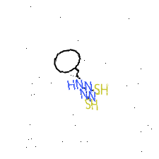 Sc1nc(S)nc(NCCCC2CCCCCCCCCCCCC2)n1